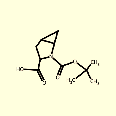 CC(C)(C)OC(=O)N1C(C(=O)O)CC2CC21